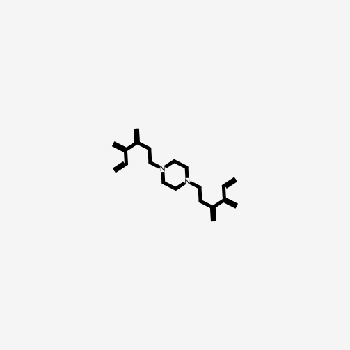 C=CC(=C)C(=C)CCN1CCN(CCC(=C)C(=C)C=C)CC1